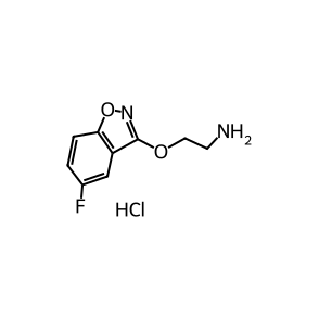 Cl.NCCOc1noc2ccc(F)cc12